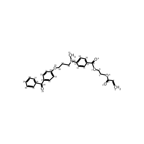 C=CC(=O)OCCOC(=O)c1ccc(N(C)CCCOc2ccc(C(=O)c3ccccc3)cc2)cc1